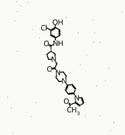 CC(=O)c1cccn1-c1ccc(N2CCN(C(=O)CN3CC[C@@H](C(=O)Nc4ccc(O)c(Cl)c4)C3)CC2)cc1